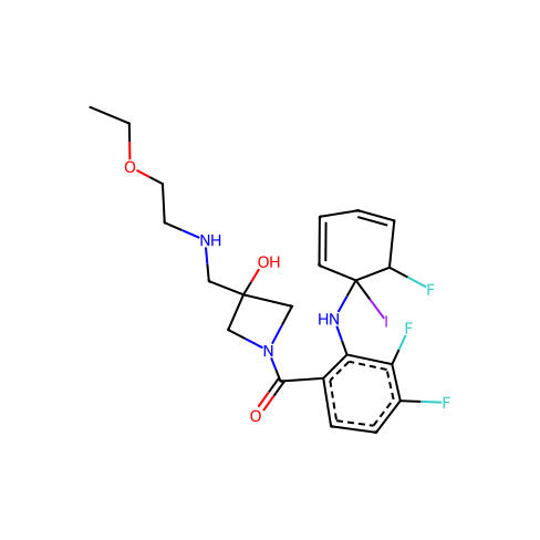 CCOCCNCC1(O)CN(C(=O)c2ccc(F)c(F)c2NC2(I)C=CC=CC2F)C1